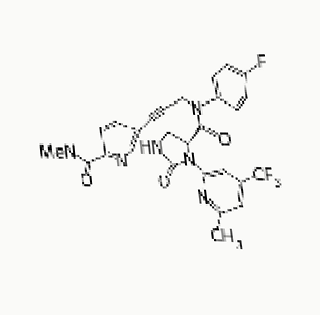 CNC(=O)c1ccc(C#CCN(C(=O)[C@@H]2CNC(=O)N2c2cc(C(F)(F)F)cc(C)n2)c2ccc(F)cc2)cn1